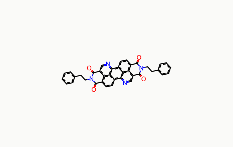 O=C1c2ccc3c4ncc5c6c(ccc(c7ncc(c2c37)C(=O)N1CCc1ccccc1)c64)C(=O)N(CCc1ccccc1)C5=O